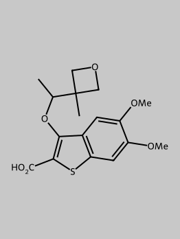 COc1cc2sc(C(=O)O)c(OC(C)C3(C)COC3)c2cc1OC